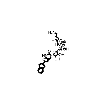 NCCCP(=O)(O)OP(=O)(O)OP(=O)(O)OC[C@H]1O[C@@H](N2C=C3C=C(c4ccc5ccccc5c4)OC3NC2=O)C(O)[C@H]1O